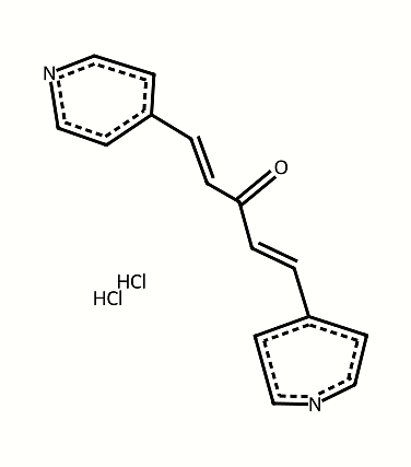 Cl.Cl.O=C(C=Cc1ccncc1)C=Cc1ccncc1